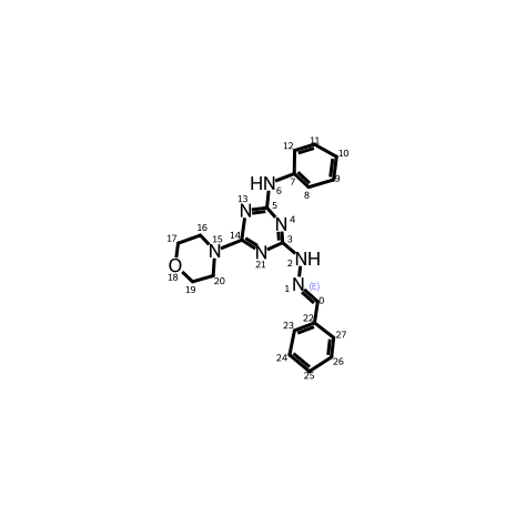 C(=N\Nc1nc(Nc2ccccc2)nc(N2CCOCC2)n1)/c1ccccc1